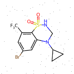 O=S1(=O)NCN(C2CC2)c2cc(Br)cc(C(F)(F)F)c21